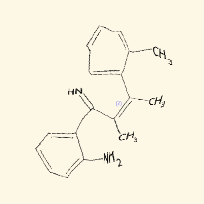 C/C(C(=N)c1ccccc1N)=C(\C)c1ccccc1C